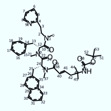 CN(CCc1ccccn1)C(=O)[C@@H](Cc1ccccc1)N(C)C(=O)[C@@H](Cc1ccc2ccccc2c1)N(C)C(=O)C=CCC(C)(C)NC(=O)OC(C)(C)C